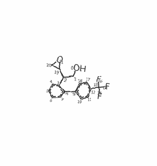 OCC(c1ccccc1-c1ccc(C(F)(F)F)cc1)C1CO1